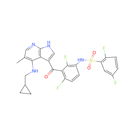 Cc1cnc2[nH]cc(C(=O)c3c(F)ccc(NS(=O)(=O)c4cc(F)ccc4F)c3F)c2c1NCC1CC1